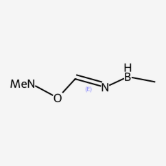 CB/N=C/ONC